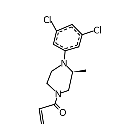 C=CC(=O)N1CCN(c2cc(Cl)cc(Cl)c2)[C@@H](C)C1